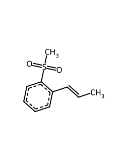 C/C=C/c1ccccc1S(C)(=O)=O